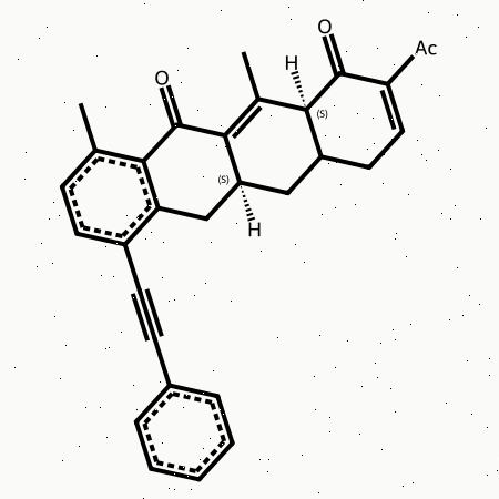 CC(=O)C1=CCC2C[C@H]3Cc4c(C#Cc5ccccc5)ccc(C)c4C(=O)C3=C(C)[C@H]2C1=O